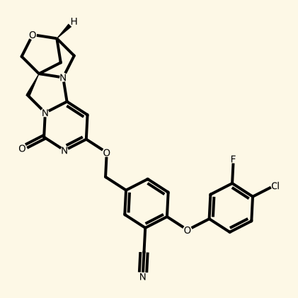 N#Cc1cc(COc2cc3n(c(=O)n2)C[C@]24CO[C@H](CN32)C4)ccc1Oc1ccc(Cl)c(F)c1